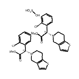 COC(=O)[C@H](c1ccccc1Cl)N1CCc2sccc2C1.COC(=O)[C@H](c1ccccc1Cl)N1CCc2sccc2C1.O=S(=O)(O)O